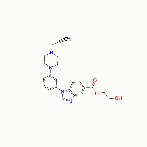 C#CCN1CCN(c2cccc(-n3cnc4cc(C(=O)OCCO)ccc43)c2)CC1